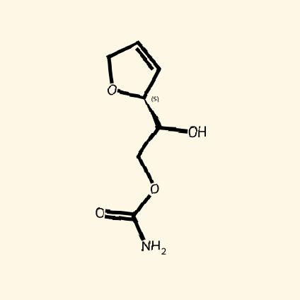 NC(=O)OCC(O)[C@@H]1C=CCO1